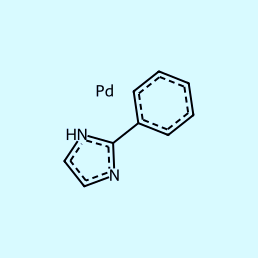 [Pd].c1ccc(-c2ncc[nH]2)cc1